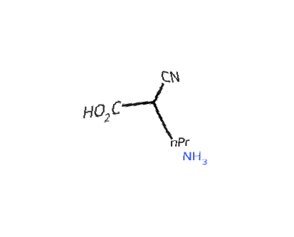 CCCC(C#N)C(=O)O.N